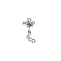 O=C1c2ccccc2S(O)(O)N1CCCCN1CCC(Oc2ccc3ccccc3c2)C1